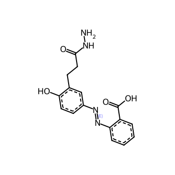 NNC(=O)CCc1cc(/N=N/c2ccccc2C(=O)O)ccc1O